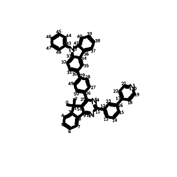 CC1(C)c2ccccc2-c2nc(-c3cccc(-c4ccncc4)c3)nc(-c3ccc(-c4ccc5c(c4)c4ccccc4n5-c4ccccc4)cc3)c21